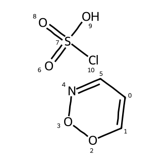 C1=COON=C1.O=S(=O)(O)Cl